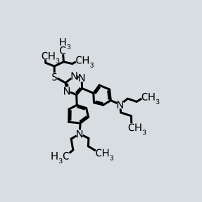 CCCN(CCC)c1ccc(-c2nnc(SC(CC)C(C)CC)nc2-c2ccc(N(CCC)CCC)cc2)cc1